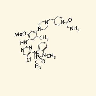 COc1cc(N2CCN(CC3CCN(C(=O)CN)CC3)CC2)c(C)cc1Nc1ncc(Cl)c(Nc2ccccc2N(C)S(C)(=O)=O)n1